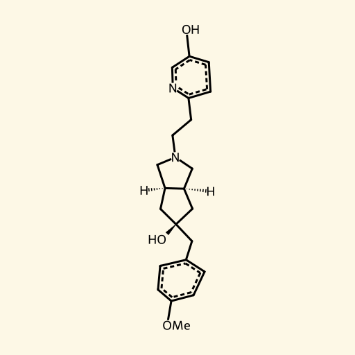 COc1ccc(C[C@]2(O)C[C@H]3CN(CCc4ccc(O)cn4)C[C@H]3C2)cc1